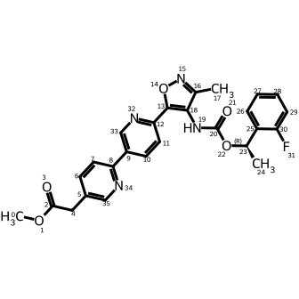 COC(=O)Cc1ccc(-c2ccc(-c3onc(C)c3NC(=O)O[C@H](C)c3ccccc3F)nc2)nc1